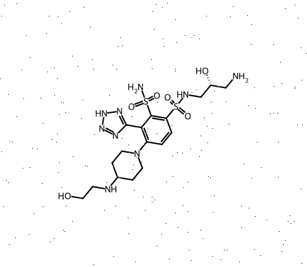 NC[C@@H](O)CNS(=O)(=O)c1ccc(N2CCC(NCCO)CC2)c(-c2nn[nH]n2)c1S(N)(=O)=O